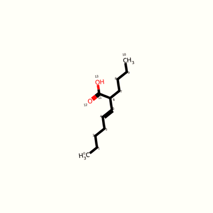 CCCC/C=C/C(CCCC)C(=O)O